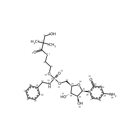 CC(C)(CO)C(=O)SCCOP(=O)(NCc1ccccc1)OC[C@H]1O[C@@H](n2ccc(N)nc2=O)[C@@H](O)[C@@H]1O